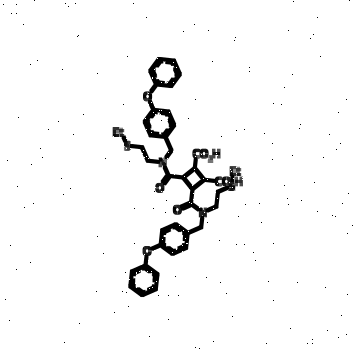 CCSCCN(Cc1ccc(Oc2ccccc2)cc1)C(=O)C1C(C(=O)O)C(C(=O)O)C1C(=O)N(CCSCC)Cc1ccc(Oc2ccccc2)cc1